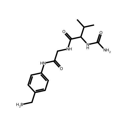 BCc1ccc(NC(=O)CNC(=O)C(NC(N)=O)C(C)C)cc1